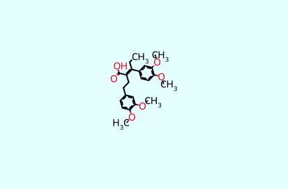 CCC(=C(CCc1ccc(OC)c(OC)c1)C(=O)O)c1ccc(OC)c(OC)c1